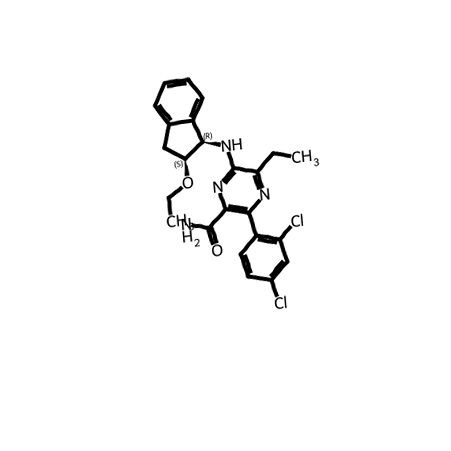 CCO[C@H]1Cc2ccccc2[C@H]1Nc1nc(C(N)=O)c(-c2ccc(Cl)cc2Cl)nc1CC